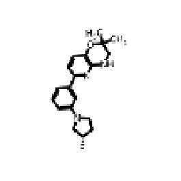 CC1(C)CNc2nc(-c3cccc(N4CC[C@H](F)C4)c3)ccc2O1